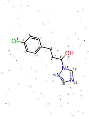 OC(CCc1ccc(Cl)cc1)n1cncn1